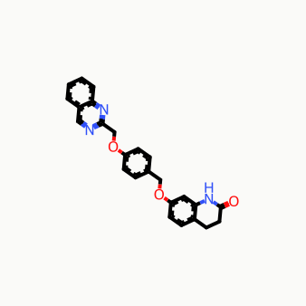 O=C1CCc2ccc(OCc3ccc(OCc4ncc5ccccc5n4)cc3)cc2N1